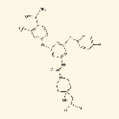 CCC(CC)CC1(O)CCN(C(=O)Nc2cc(Oc3ccc(F)cc3)cc(Oc3ccc(C(N)=O)c(C)c3)c2)CC1